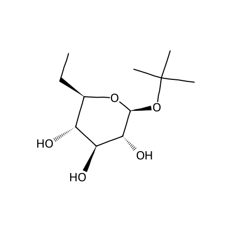 CC[C@H]1O[C@@H](OC(C)(C)C)[C@H](O)[C@@H](O)[C@@H]1O